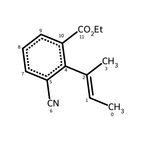 C/C=C(\C)c1c(C#N)cccc1C(=O)OCC